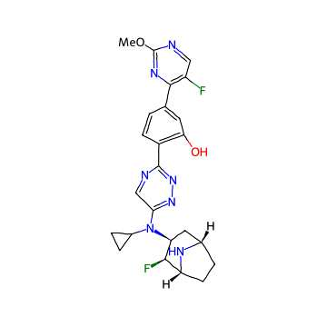 COc1ncc(F)c(-c2ccc(-c3ncc(N(C4CC4)[C@H]4C[C@@H]5CC[C@@H](N5)[C@H]4F)nn3)c(O)c2)n1